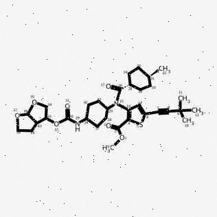 COC(=O)c1sc(C#CC(C)(C)C)cc1N(C(=O)[C@H]1CC[C@H](C)CC1)C1CCC(NC(=O)OC2COC3OCCC23)CC1